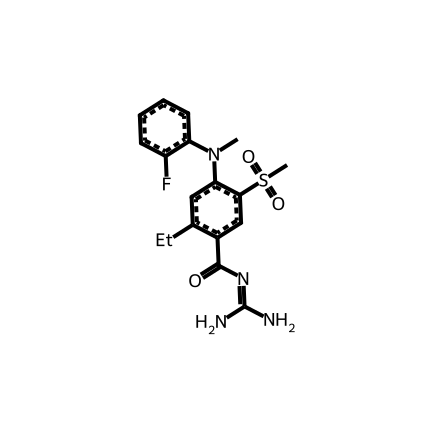 CCc1cc(N(C)c2ccccc2F)c(S(C)(=O)=O)cc1C(=O)N=C(N)N